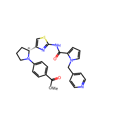 COC(=O)c1ccc(N2CCC[C@@H]2c2csc(NC(=O)c3cccn3Cc3ccncc3)n2)cc1